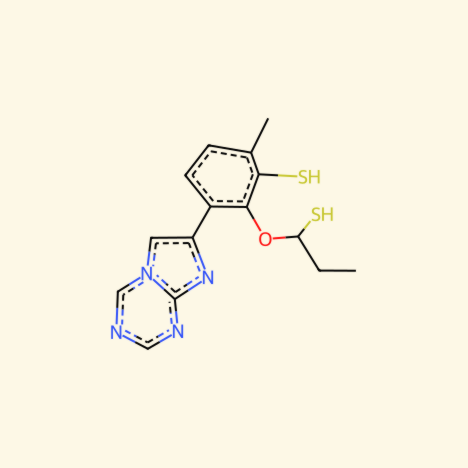 CCC(S)Oc1c(-c2cn3cncnc3n2)ccc(C)c1S